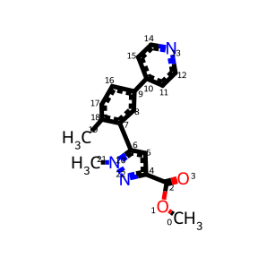 COC(=O)c1cc(-c2cc(-c3ccncc3)ccc2C)n(C)n1